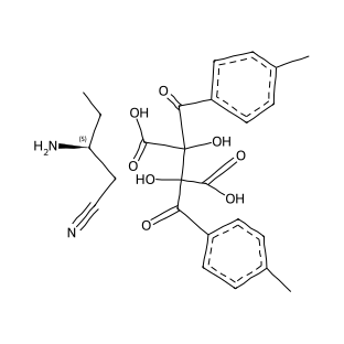 CC[C@H](N)CC#N.Cc1ccc(C(=O)C(O)(C(=O)O)C(O)(C(=O)O)C(=O)c2ccc(C)cc2)cc1